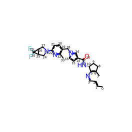 C/C=C/C=N\C1=C(C)CC[C@H]1NC(=O)c1ccn(Cc2ccc(N3CC4C(C3)C4(F)F)nc2C)c1